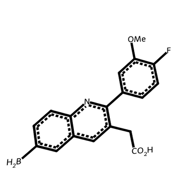 Bc1ccc2nc(-c3ccc(F)c(OC)c3)c(CC(=O)O)cc2c1